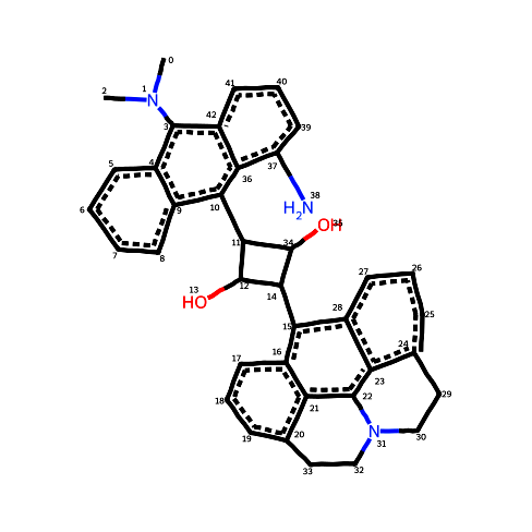 CN(C)c1c2ccccc2c(C2C(O)C(c3c4cccc5c4c4c6c(cccc36)CCN4CC5)C2O)c2c(N)cccc12